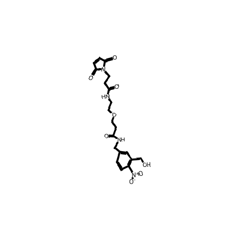 O=C(CCN1C(=O)C=CC1=O)NCCOCCC(=O)NCc1ccc([N+](=O)[O-])c(CO)c1